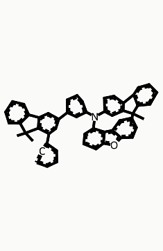 CC1(C)c2ccccc2-c2ccc(N(c3cccc(-c4cc(-c5ccccc5)c5c(c4)-c4ccccc4C5(C)C)c3)c3cccc4oc5ccccc5c34)cc21